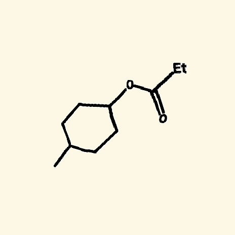 CCC(=O)OC1CCC(C)CC1